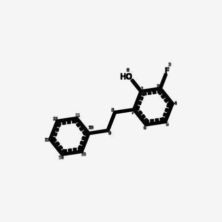 Oc1c(F)cccc1CCc1ccccc1